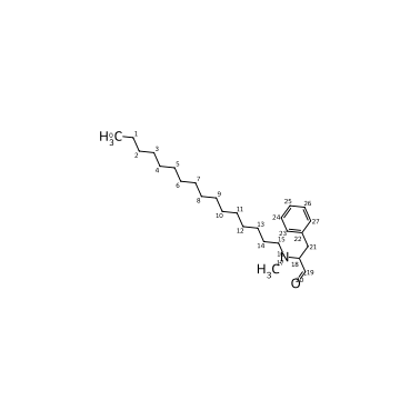 CCCCCCCCCCCCCCCCN(C)C([C]=O)Cc1ccccc1